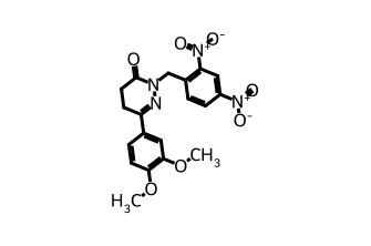 COc1ccc(C2=NN(Cc3ccc([N+](=O)[O-])cc3[N+](=O)[O-])C(=O)CC2)cc1OC